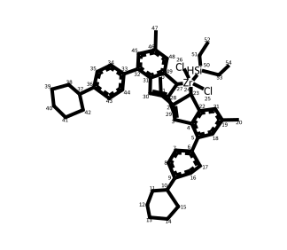 CCC1=Cc2c(-c3ccc(C4CCCCC4)cc3)cc(C)cc2[CH]1[Zr]([Cl])([Cl])([CH]1C(C)=Cc2c(-c3ccc(C4CCCCC4)cc3)cc(C)cc21)[SiH](CC)CC